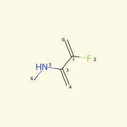 C=C(F)C(=C)NC